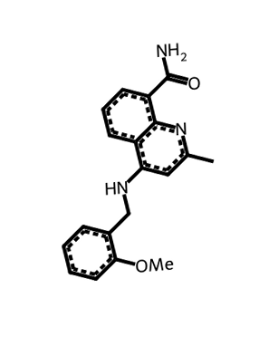 COc1ccccc1CNc1cc(C)nc2c(C(N)=O)cccc12